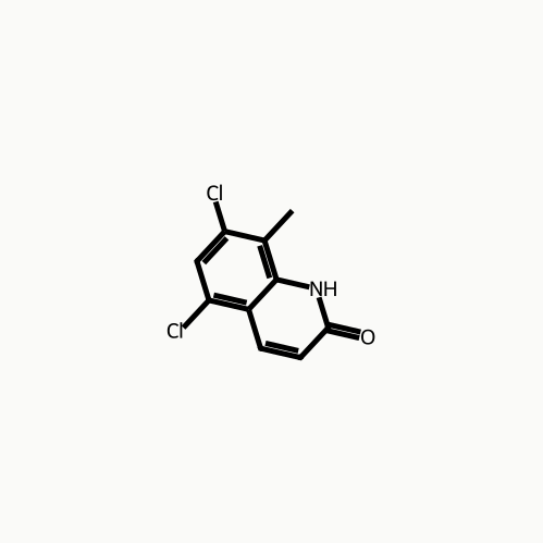 Cc1c(Cl)cc(Cl)c2ccc(=O)[nH]c12